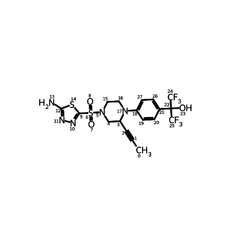 CC#CC1CN(S(=O)(=O)c2nnc(N)s2)CCN1c1ccc(C(O)(C(F)(F)F)C(F)(F)F)cc1